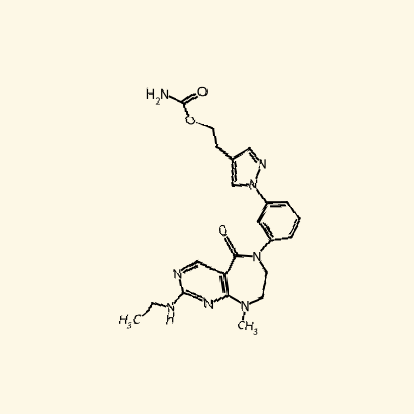 CCNc1ncc2c(n1)N(C)CCN(c1cccc(-n3cc(CCOC(N)=O)cn3)c1)C2=O